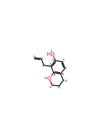 C=CCc1c(O)ccc2c1OCCC2